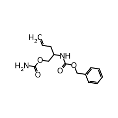 C=CCC(COC(N)=O)NC(=O)OCc1ccccc1